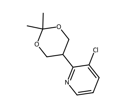 CC1(C)OCC(c2ncccc2Cl)CO1